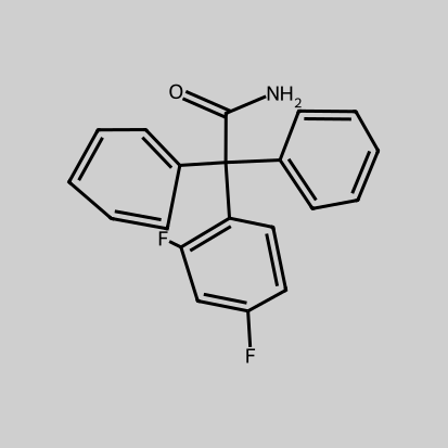 NC(=O)C(c1ccccc1)(c1ccccc1)c1ccc(F)cc1F